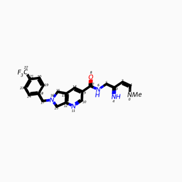 CN/C=C\C(=N)CNC(=O)c1cnc2c(c1)CN(Cc1ccc(C(F)(F)F)cc1)C2